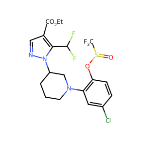 CCOC(=O)c1cnn(C2CCCN(c3cc(Cl)ccc3OS(=O)C(F)(F)F)C2)c1C(F)F